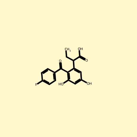 CCC(C(=O)O)c1cc(O)cc(O)c1C(=O)c1ccc(F)cc1